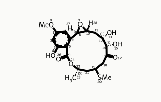 COc1cc(O)c2c(c1)[C@H]1O[C@@H]1C[C@H](O)[C@H](O)C(=O)CC(SC)C[C@H](C)OC2=O